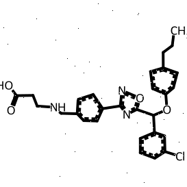 CCCc1ccc(OC(c2cccc(Cl)c2)c2nc(-c3ccc(CNCCC(=O)O)cc3)no2)cc1